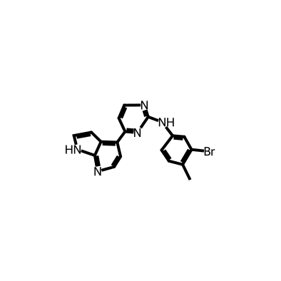 Cc1ccc(Nc2nccc(-c3ccnc4[nH]ccc34)n2)cc1Br